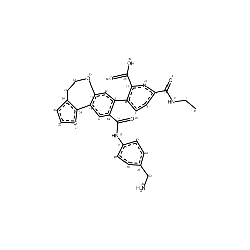 CCNC(=O)c1ccc(-c2cc3c(cc2C(=O)Nc2ccc(CN)cc2)-c2sccc2CCO3)c(C(=O)O)n1